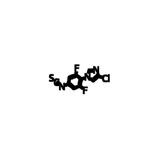 Fc1cc(N=C=S)cc(F)c1-n1cnc(Cl)c1